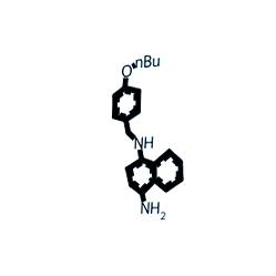 CCCCOc1ccc(CNc2ccc(N)c3ccccc23)cc1